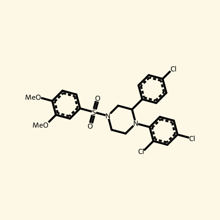 COc1ccc(S(=O)(=O)N2CCN(c3ccc(Cl)cc3Cl)C(c3ccc(Cl)cc3)C2)cc1OC